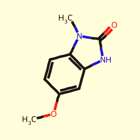 COc1ccc2c(c1)[nH]c(=O)n2C